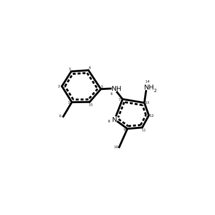 Cc1cccc(Nc2nc(C)ccc2N)c1